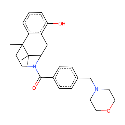 CC12CCN(C(=O)c3ccc(CN4CCOCC4)cc3)C(Cc3c(O)cccc31)C2(C)C